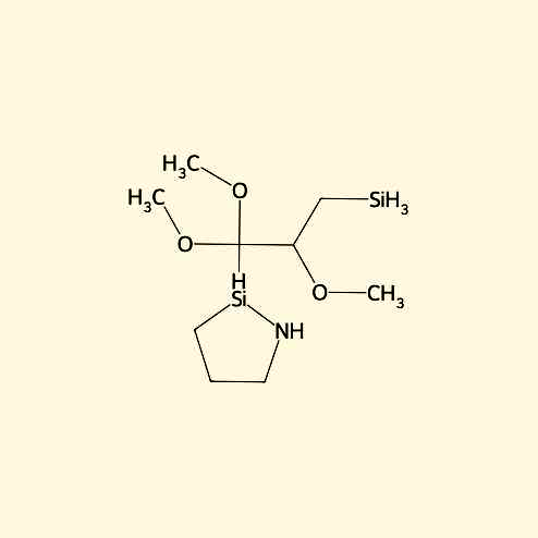 COC(C[SiH3])C(OC)(OC)[SiH]1CCCN1